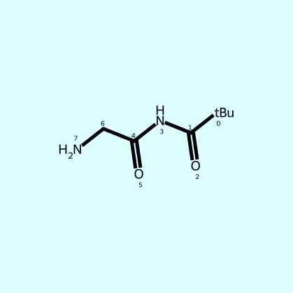 CC(C)(C)C(=O)NC(=O)CN